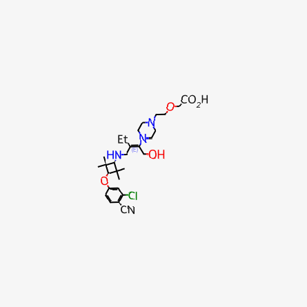 CC/C(CN[C@H]1C(C)(C)[C@H](Oc2ccc(C#N)c(Cl)c2)C1(C)C)=C(/CO)N1CCN(CCOCC(=O)O)CC1